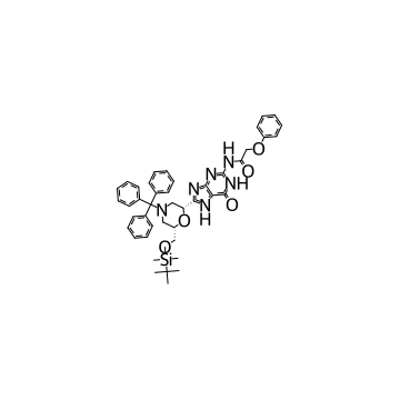 CC(C)(C)[Si](C)(C)OC[C@@H]1CN(C(c2ccccc2)(c2ccccc2)c2ccccc2)C[C@H](c2nc3nc(NC(=O)COc4ccccc4)[nH]c(=O)c3[nH]2)O1